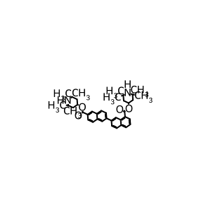 CC1(C)CC(OC(=O)c2ccc3cc(-c4ccc5cccc(C(=O)OC6CC(C)(C)NC(C)(C)C6)c5c4)ccc3c2)CC(C)(C)N1